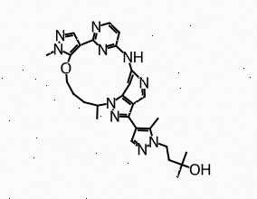 Cc1c(-c2nn3c4cc(ncc24)Nc2ccnc(n2)-c2cnn(C)c2OCCCC3C)cnn1CCC(C)(C)O